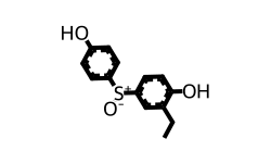 CCc1cc([S+]([O-])c2ccc(O)cc2)ccc1O